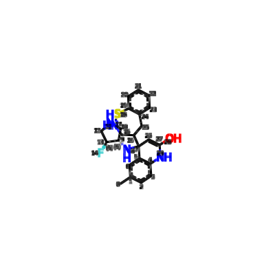 Cc1ccc2c(c1)C(N[C@H]1CNC[C@@H]1F)(C1CNSc3ccccc3C1)C=C(O)N2